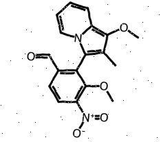 COc1c([N+](=O)[O-])ccc(C=O)c1-c1c(C)c(OC)c2ccccn12